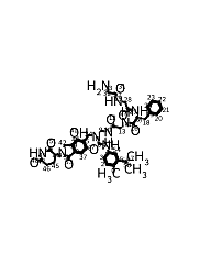 Cc1ccc(NC(=O)N(CNC(=O)CNC(=O)[C@H](Cc2ccccc2)NC(=O)CNC(=O)CN)Cc2ccc3c(c2O)CN(C2CCC(=O)NC2=O)C3=O)cc1C(C)C